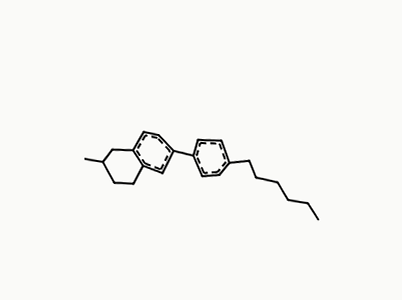 CCCCCCc1ccc(-c2ccc3c(c2)CCC(C)C3)cc1